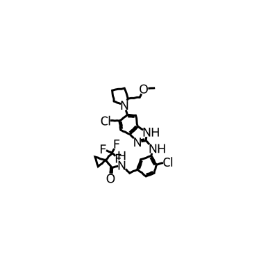 COCC1CCCN1c1cc2[nH]c(Nc3cc(CNC(=O)C4(C(F)(F)F)CC4)ccc3Cl)nc2cc1Cl